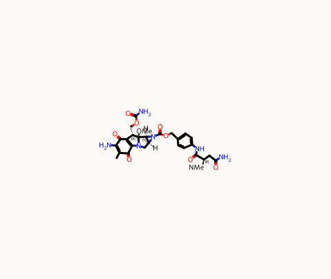 CN[C@H](CC(N)=O)C(=O)Nc1ccc(COC(=O)N2[C@H]3[C@@H]2CN2C4=C(C(=O)C(N)=C(C)C4=O)[C@H](COC(N)=O)[C@]32OC)cc1